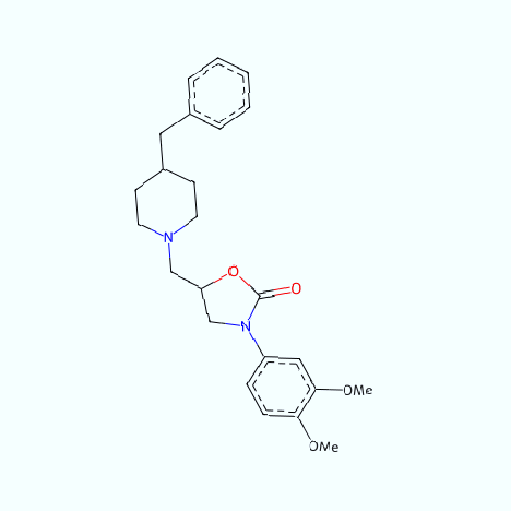 COc1ccc(N2CC(CN3CCC(Cc4ccccc4)CC3)OC2=O)cc1OC